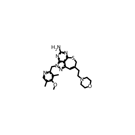 COc1c(C)cnc(Cn2nc3c4c(nc(N)nc42)SCC(CCN2CCOCC2)=C3)c1C